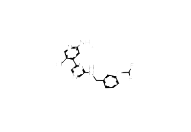 Nc1cc(-c2cncc(NCc3cccc(OC(F)F)c3)n2)c(Cl)cn1